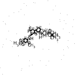 COc1cc(S(C)(=O)=O)ccc1NCC#Cc1sc2c(NC3CCN(C(=O)OC(C)(C)C)CC3)cccc2c1CC(F)(F)F